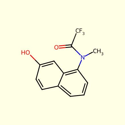 CN(C(=O)C(F)(F)F)c1cccc2ccc(O)cc12